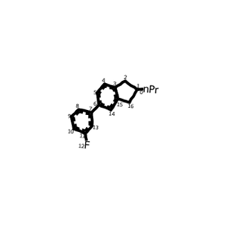 CCCC1Cc2ccc(-c3cccc(F)c3)cc2C1